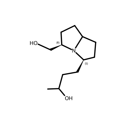 CC(O)CC[C@@H]1CCC2CC[C@H](CO)N21